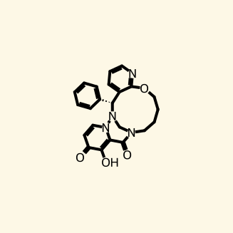 O=C1c2c(O)c(=O)ccn2N2CN1CCCCOc1ncccc1[C@H]2c1ccccc1